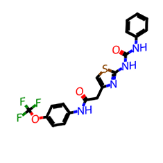 O=C(Cc1csc(NC(=O)Nc2ccccc2)n1)Nc1ccc(OC(F)(F)F)cc1